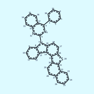 c1ccc(-c2nc(-n3c4ccccc4c4c5c(ccc43)sc3c4ccccc4ccc35)nc3ccccc23)cc1